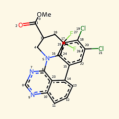 COC(=O)C1CN(c2ncnc3cccc(-c4ccc(Cl)c(Cl)c4)c23)CC(F)(F)C1